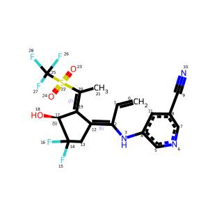 C=C/C(Nc1cncc(C#N)c1)=C1/CC(F)(F)[C@@H](O)/C1=C(/C)S(=O)(=O)C(F)(F)F